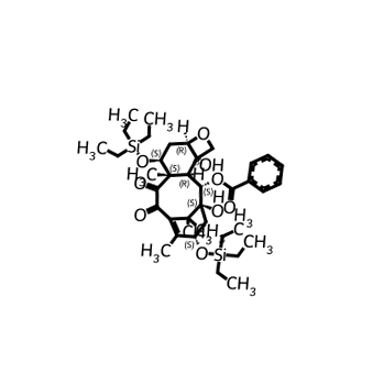 CC[Si](CC)(CC)O[C@H]1C[C@@]2(O)[C@@H](OC(=O)c3ccccc3)[C@@H]3[C@]4(O)CO[C@@H]4C[C@H](O[Si](CC)(CC)CC)[C@@]3(C)C(=O)C(=O)C(=C1C)C2(C)C